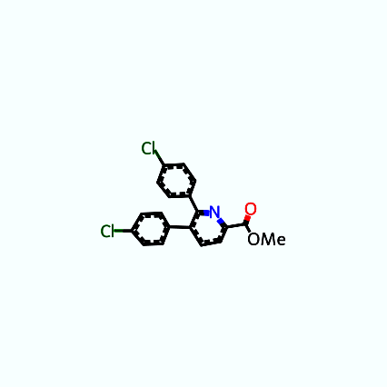 COC(=O)c1ccc(-c2ccc(Cl)cc2)c(-c2ccc(Cl)cc2)n1